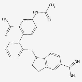 CC(=O)Nc1ccc(-c2ccccc2CN2CCc3cc(C(=N)N)ccc32)c(C(=O)O)c1